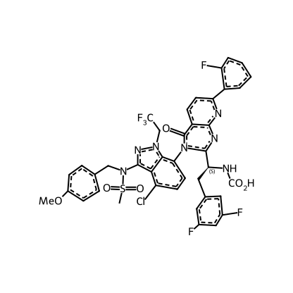 COc1ccc(CN(c2nn(CC(F)(F)F)c3c(-n4c([C@H](Cc5cc(F)cc(F)c5)NC(=O)O)nc5nc(-c6ccccc6F)ccc5c4=O)ccc(Cl)c23)S(C)(=O)=O)cc1